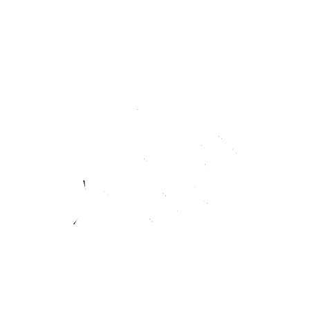 CC(C)(C)OC(=O)NC(CN1C[C@@H]2CC1C(=O)N2c1ccccc1-c1nnn[nH]1)C(=O)N1C(C#N)C[C@@H]2C[C@@H]21